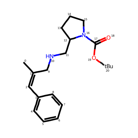 CC(=Cc1ccccc1)CNCC1CCCN1C(=O)OC(C)(C)C